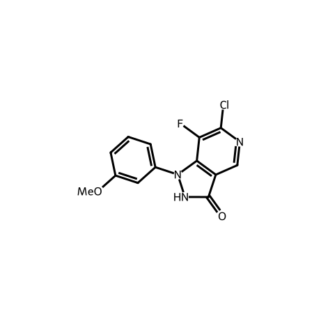 COc1cccc(-n2[nH]c(=O)c3cnc(Cl)c(F)c32)c1